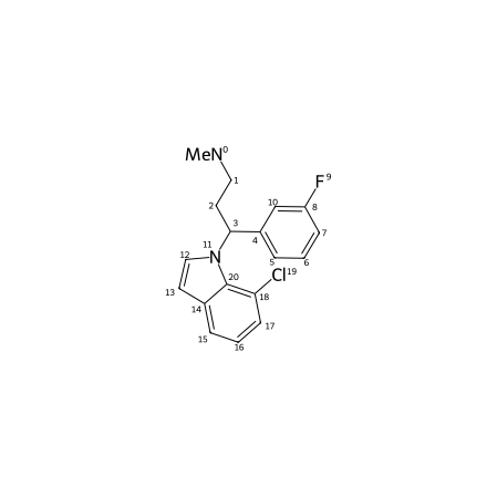 CNCCC(c1cccc(F)c1)n1ccc2cccc(Cl)c21